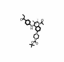 CCC(=O)c1ccc(N[C@H]2c3cc(N4CCN(C(=O)OC(C)(C)C)CC4)ccc3N(C(C)=O)[C@@H](C)[C@@H]2C)cc1